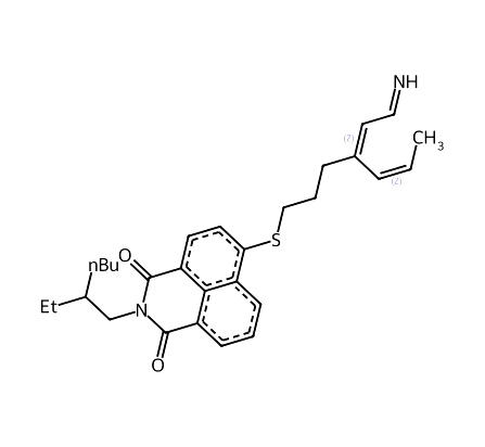 C/C=C\C(=C/C=N)CCCSc1ccc2c3c(cccc13)C(=O)N(CC(CC)CCCC)C2=O